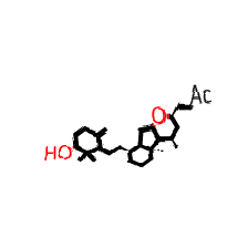 CC(=O)/C=C/[C@H]1C[C@@H](C)C2C(CC3[C@H](CCC4C(C)CC[C@H](O)C4(C)C)CCC[C@@]32C)O1